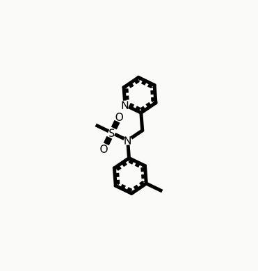 Cc1cccc(N(Cc2ccccn2)S(C)(=O)=O)c1